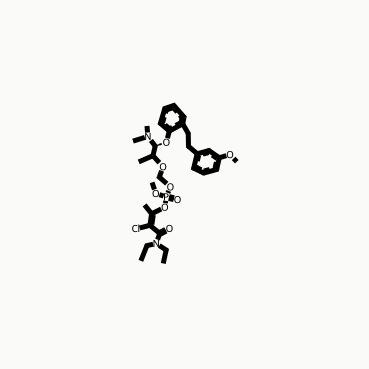 CCN(CC)C(=O)/C(Cl)=C(/C)OP(=O)(OC)OCOC(C)[C@@H](Oc1ccccc1CCc1cccc(OC)c1)N(C)C